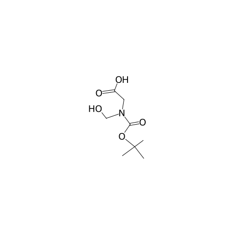 CC(C)(C)OC(=O)N(CO)CC(=O)O